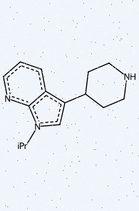 CC(C)n1cc(C2CCNCC2)c2cccnc21